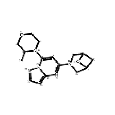 CC1COCCN1c1cc(N2CC3CC(C2)O3)nc2ccnn12